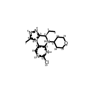 CC[C@@H]1c2nnc(C)n2-c2cnc(Cl)nc2N1C1CCOCC1